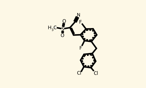 CS(=O)(=O)/C(C#N)=C/c1c(F)ccc(Cc2ccc(Cl)c(Cl)c2)c1F